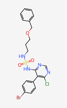 O=S(=O)(NCCCOCc1ccccc1)Nc1ncnc(Cl)c1-c1ccc(Br)cc1